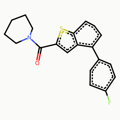 O=C(c1cc2c(-c3ccc(F)cc3)cccc2s1)N1CCCCC1